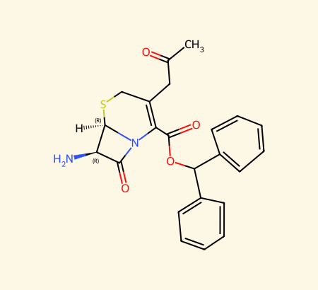 CC(=O)CC1=C(C(=O)OC(c2ccccc2)c2ccccc2)N2C(=O)[C@@H](N)[C@H]2SC1